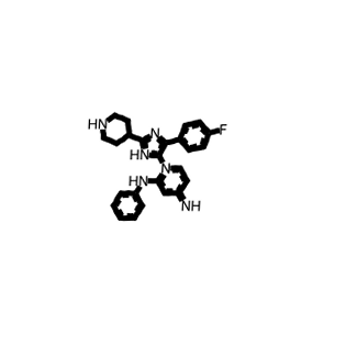 N=c1ccn(-c2[nH]c(C3CCNCC3)nc2-c2ccc(F)cc2)c(Nc2ccccc2)c1